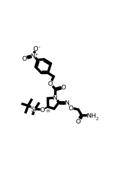 CC(C)(C)[Si](C)(C)O[C@@H]1CC(=NOCC(N)=O)N(C(=O)OCc2ccc([N+](=O)[O-])cc2)C1